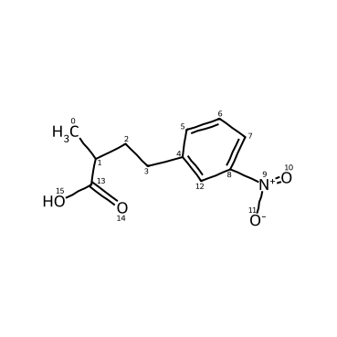 CC(CCc1cccc([N+](=O)[O-])c1)C(=O)O